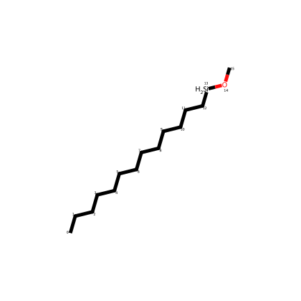 CCCCCCCCCCCCC[SiH2]OC